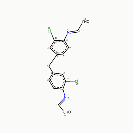 O=CC=Nc1ccc(Cc2ccc(N=CC=O)c(Cl)c2)cc1Cl